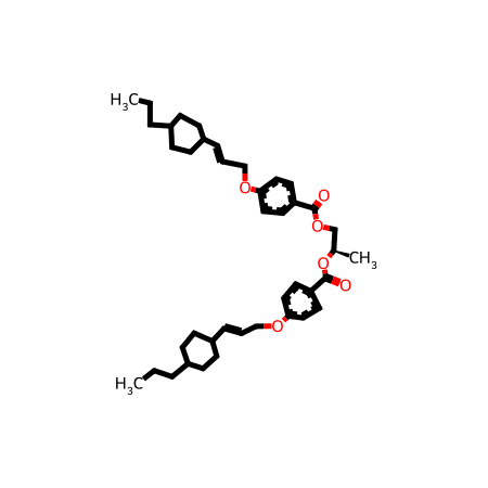 CCCC1CCC(/C=C/COc2ccc(C(=O)OC[C@@H](C)OC(=O)c3ccc(OC/C=C/C4CCC(CCC)CC4)cc3)cc2)CC1